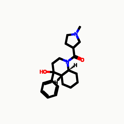 CN1CCC(C(=O)N2CCC(O)(c3ccccc3)[C@H]3CCCC[C@@H]32)C1